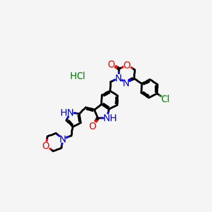 Cl.O=C1Nc2ccc(CN3N=C(c4ccc(Cl)cc4)COC3=O)cc2/C1=C/c1cc(CN2CCOCC2)c[nH]1